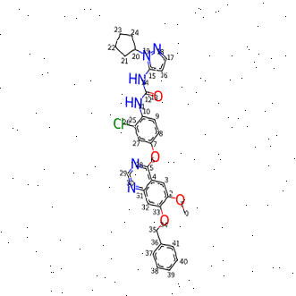 COc1cc2c(Oc3ccc(NC(=O)Nc4ccnn4C4CCCC4)c(Cl)c3)ncnc2cc1OCc1ccccc1